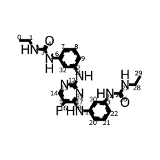 CCNC(=O)Nc1cccc(Nc2ncc(F)c(Nc3cccc(NC(=O)NCC)c3)n2)c1